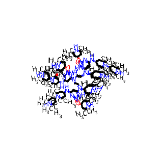 CC1(C)CC(ON2N=C(NC3CC(C)(C)N(C4CC(C)(C)NC(C)(C)C4)C(C)(C)C3)C=C(N(CCN(C3=CC(NC4CC(C)(C)N(C5CC(C)(C)NC(C)(C)C5)C(C)(C)C4)=NN(OC4CC(C)(C)NC(C)(C)C4)N3)C3CC(C)(C)NC(C)(C)C3)CCN(C3=CC(NC4CC(C)(C)N(C5CC(C)(C)NC(C)(C)C5)C(C)(C)C4)=NN(OC4CC(C)(C)NC(C)(C)C4)N3)C3CC(C)(C)NC(C)(C)C3)N2)CC(C)(C)N1